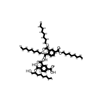 CCCCCCCCO.CCCCCCCCOC(=O)c1ccc(C(=O)OCCCCCCCC)c(C(=O)OCCCCCCCC)c1.O=C(O)c1ccc(C(=O)O)c(C(=O)O)c1